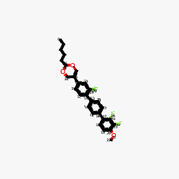 CCCCCC1OCC(c2ccc(-c3ccc(-c4ccc(OC)c(F)c4F)cc3)c(F)c2)CO1